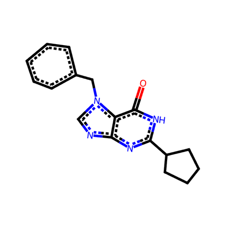 O=c1[nH]c(C2CCCC2)nc2ncn(Cc3ccccc3)c12